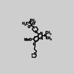 COc1cc2c(N3CCN(S(=O)(=O)N(C)C)CC3)nc(N(C)C)nc2cc1OCCCN1CCCC1